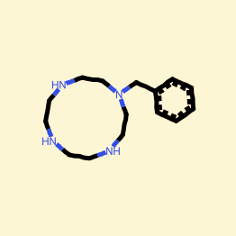 c1ccc(CN2CCNCCNCCNCC2)cc1